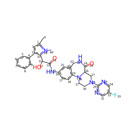 Cc1cc(-c2ccccc2)c(C(O)C(=O)Nc2ccc3c(c2)CNC(=O)C2CN(c4ncc(F)cn4)CCN32)n1C